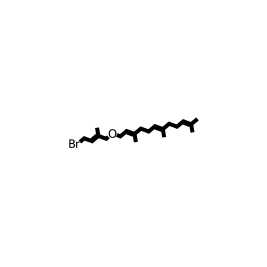 CC(C)=CCC/C(C)=C/CC/C(C)=C/COC/C(C)=C/CBr